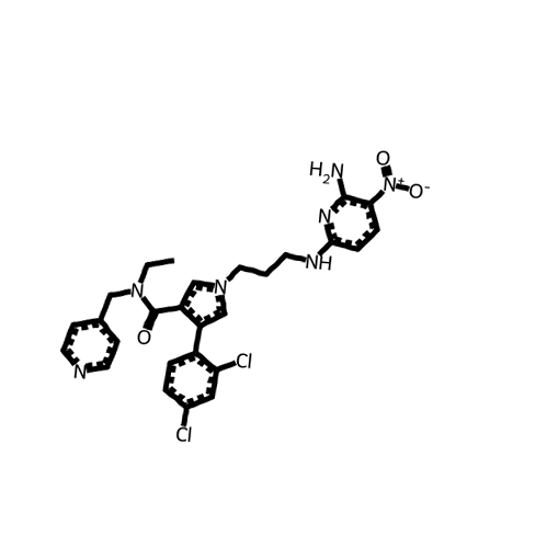 CCN(Cc1ccncc1)C(=O)c1cn(CCCNc2ccc([N+](=O)[O-])c(N)n2)cc1-c1ccc(Cl)cc1Cl